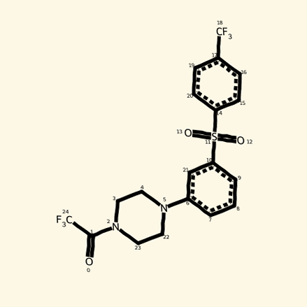 O=C(N1CCN(c2cccc(S(=O)(=O)c3ccc(C(F)(F)F)cc3)c2)CC1)C(F)(F)F